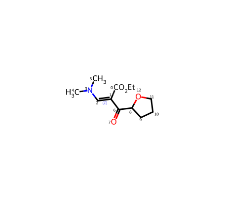 CCOC(=O)/C(=C\N(C)C)C(=O)C1CCCO1